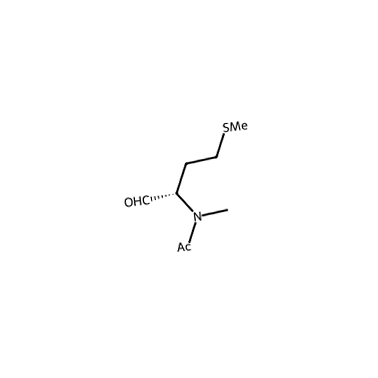 CSCC[C@@H](C=O)N(C)C(C)=O